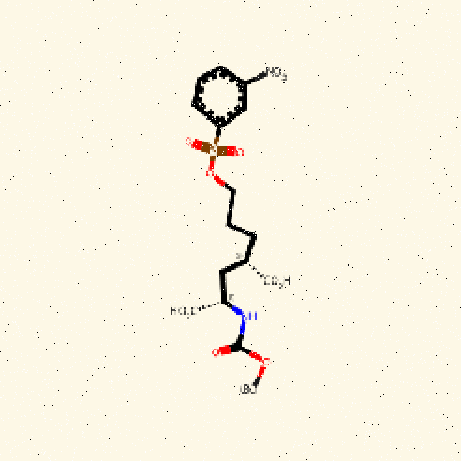 CC(C)(C)OC(=O)N[C@@H](C[C@H](CCCOS(=O)(=O)c1cccc([N+](=O)[O-])c1)C(=O)O)C(=O)O